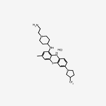 Cc1cc(NC2CCN(CCN)CC2)c2c(c1)Sc1cc(N3CCC(C(F)(F)F)C3)ccc1N2.Cl